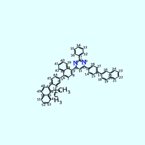 CC1(C)c2cc(-c3ccc(-c4cc(-c5ccc(-c6ccc7ccccc7c6)cc5)nc(-c5ccccc5)n4)c4ccccc34)ccc2-c2ccc3ccccc3c21